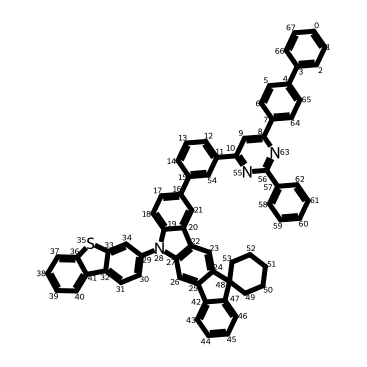 c1ccc(-c2ccc(-c3cc(-c4cccc(-c5ccc6c(c5)c5cc7c(cc5n6-c5ccc6c(c5)sc5ccccc56)-c5ccccc5C75CCCCC5)c4)nc(-c4ccccc4)n3)cc2)cc1